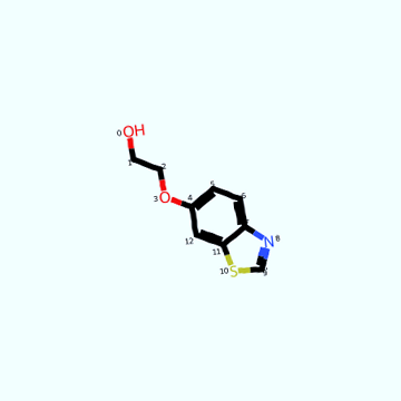 OCCOc1ccc2n[c]sc2c1